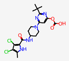 Cc1[nH]c(C(=O)NC2CCN(c3cc(OC(=O)O)nc(C(C)(C)C)n3)CC2)c(Cl)c1Cl